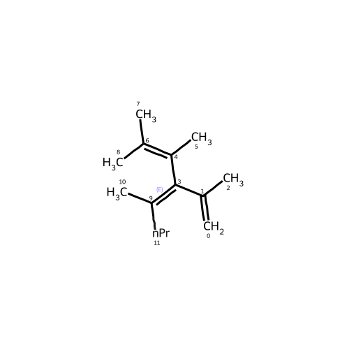 C=C(C)/C(C(C)=C(C)C)=C(/C)CCC